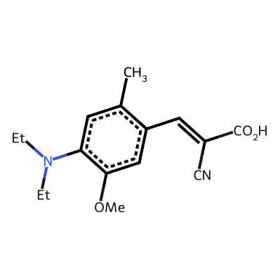 CCN(CC)c1cc(C)c(/C=C(\C#N)C(=O)O)cc1OC